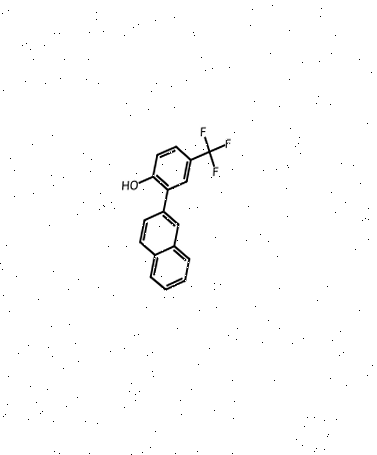 Oc1ccc(C(F)(F)F)cc1-c1ccc2ccccc2c1